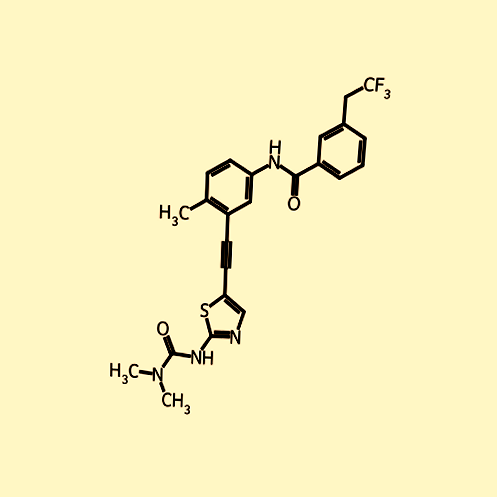 Cc1ccc(NC(=O)c2cccc(CC(F)(F)F)c2)cc1C#Cc1cnc(NC(=O)N(C)C)s1